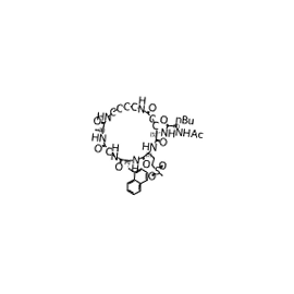 CCCC[C@@H](NC(C)=O)C(=O)N[C@H]1CCC(=O)NCCCCNC(=O)[C@H](C)NC(=O)CNC(=O)[C@@H](Cc2cccc3ccccc23)NC(=O)[C@H](CCS(C)(=O)=O)NC1=O